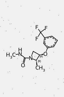 CNC(=O)N1C[C@@H](Oc2cccc(C(F)(F)F)c2)[C@H]1C